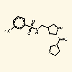 O=C([C@@H]1CC(CNS(=O)(=O)c2cccc(C(F)(F)F)c2)CN1)N1CCSC1